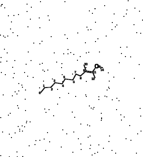 CCCCCCCCC/C(C)=C(\C)OC